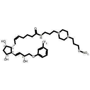 O=C(CCC/C=C\C[C@@H]1[C@@H](/C=C/[C@@H](O)COc2cccc(C(F)(F)F)c2)[C@H](O)C[C@@H]1O)NCCCN1CCN(CCCO[N+](=O)[O-])CC1